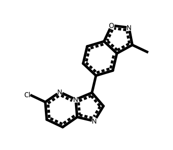 Cc1noc2ccc(-c3cnc4ccc(Cl)nn34)cc12